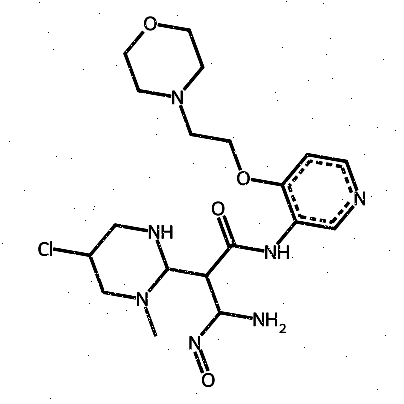 CN1CC(Cl)CNC1C(C(=O)Nc1cnccc1OCCN1CCOCC1)C(N)N=O